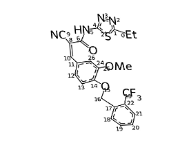 CCc1nnc(NC(=O)C(C#N)=Cc2ccc(OCc3ccccc3C(F)(F)F)c(OC)c2)s1